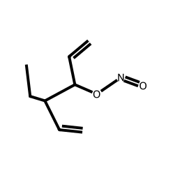 C=CC(CC)C(C=C)ON=O